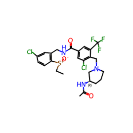 CC[S+]([O-])c1ccc(Cl)cc1CNC(=O)c1cc(Cl)c(CN2CCC[C@@H](NC(C)=O)C2)c(C(F)(F)F)c1